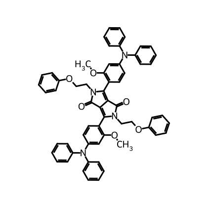 COc1cc(N(c2ccccc2)c2ccccc2)ccc1C1=C2C(=O)N(CCOc3ccccc3)C(c3ccc(N(c4ccccc4)c4ccccc4)cc3OC)=C2C(=O)N1CCOc1ccccc1